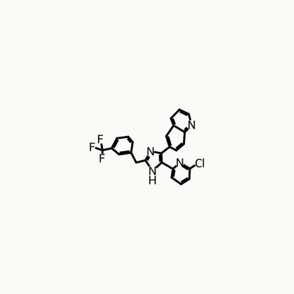 FC(F)(F)c1cccc(Cc2nc(-c3ccc4ncccc4c3)c(-c3cccc(Cl)n3)[nH]2)c1